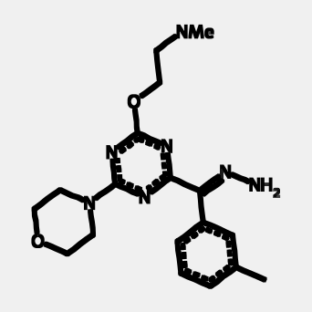 CNCCOc1nc(C(=NN)c2cccc(C)c2)nc(N2CCOCC2)n1